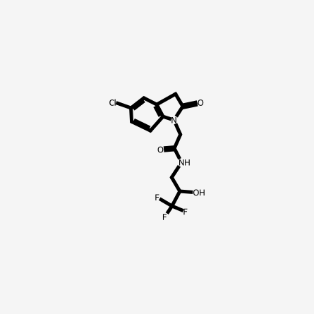 O=C(CN1C(=O)Cc2cc(Cl)ccc21)NCC(O)C(F)(F)F